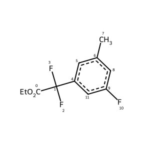 CCOC(=O)C(F)(F)c1cc(C)cc(F)c1